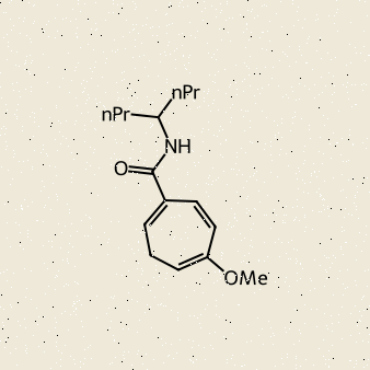 CCCC(CCC)NC(=O)C1=CCC=C(OC)C=C1